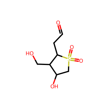 O=CCC1C(CO)C(O)CS1(=O)=O